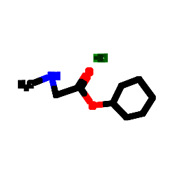 CNCC(=O)OC1CCCCC1.Cl